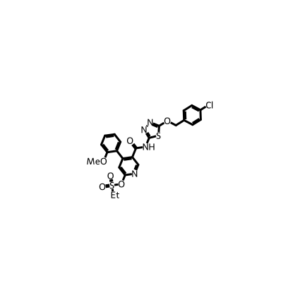 CCS(=O)(=O)Oc1cc(-c2ccccc2OC)c(C(=O)Nc2nnc(OCc3ccc(Cl)cc3)s2)cn1